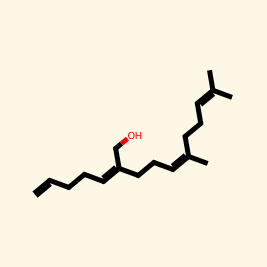 C=CCCC=C(CO)CCC=C(C)CCC=C(C)C